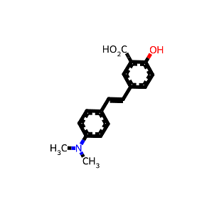 CN(C)c1ccc(/C=C/c2ccc(O)c(C(=O)O)c2)cc1